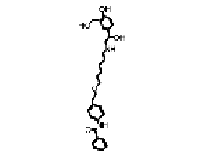 O=C(Nc1ccc(CCOCCCCCCNCC(O)c2ccc(O)c(CO)c2)cc1)c1ccccc1